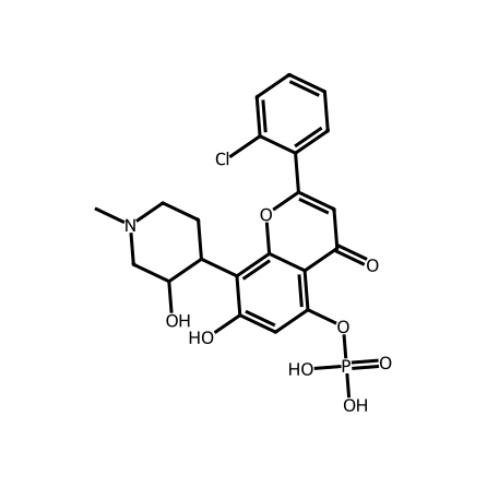 CN1CCC(c2c(O)cc(OP(=O)(O)O)c3c(=O)cc(-c4ccccc4Cl)oc23)C(O)C1